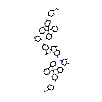 C=Cc1ccc(Oc2ccc(C3(c4c(F)cccc4F)c4ccccc4-c4ccc(N(c5ccc(C)c(F)c5)c5ccc6c(c5)C5(CC6(C)C)CC(C)(C)c6ccc(N(c7ccc(C)c(F)c7)c7ccc8c(c7)C(c7ccc(Oc9ccc(C=C)cc9)cc7)(c7c(F)cccc7F)c7ccccc7-8)cc65)cc43)cc2)cc1